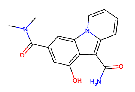 CN(C)C(=O)c1cc(O)c2c(C(N)=O)c3ccccn3c2c1